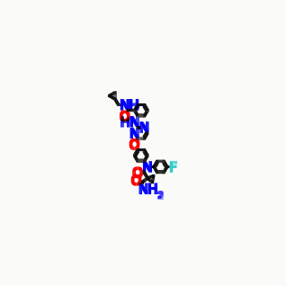 NC(=O)C1(C(=O)N(c2ccc(F)cc2)c2ccc(Oc3ccnc(Nc4ccccc4C(=O)NCC4CC4)n3)cc2)CC1